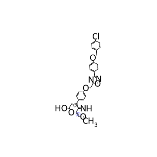 CO/C=C\C(=N)[C@@H](CC(=O)O)c1ccc(OCc2nc(-c3ccc(OCc4ccc(Cl)cc4)cc3)no2)cc1